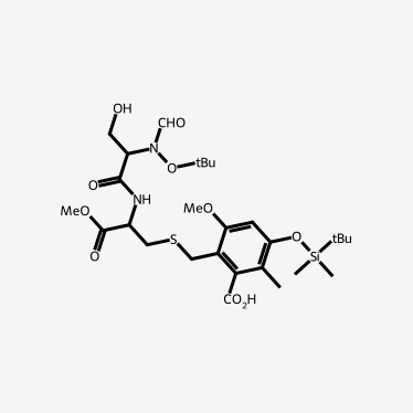 COC(=O)C(CSCc1c(OC)cc(O[Si](C)(C)C(C)(C)C)c(C)c1C(=O)O)NC(=O)C(CO)N(C=O)OC(C)(C)C